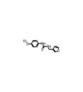 CCOc1ccc(NC(=S)NCc2ccoc2)cc1